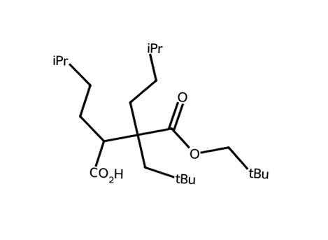 CC(C)CCC(C(=O)O)C(CCC(C)C)(CC(C)(C)C)C(=O)OCC(C)(C)C